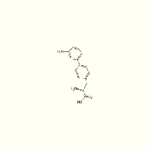 Nc1cccc(-c2ccc(C[C@H](N)C(=O)O)cc2)c1